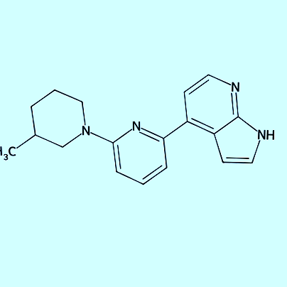 CC1CCCN(c2cccc(-c3ccnc4[nH]ccc34)n2)C1